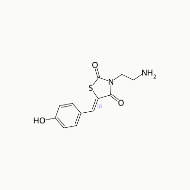 NCCN1C(=O)S/C(=C\c2ccc(O)cc2)C1=O